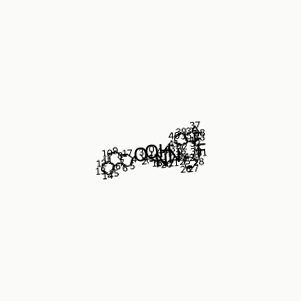 O[C@H](COc1ccc2c(ccc3ccccc32)c1)CN1CCN(C2c3ccccc3C(F)C(F)c3c(C4CC4)cccc32)CC1